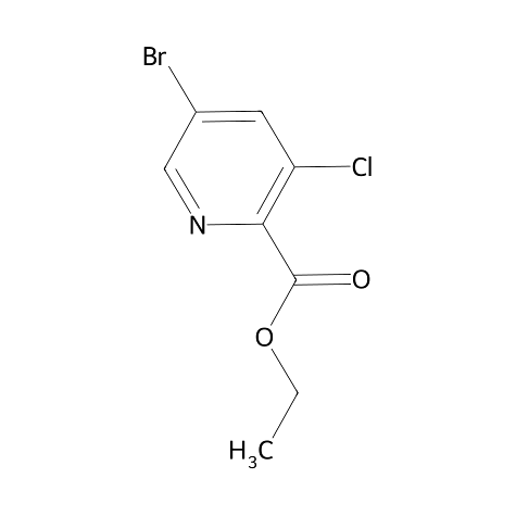 CCOC(=O)c1ncc(Br)cc1Cl